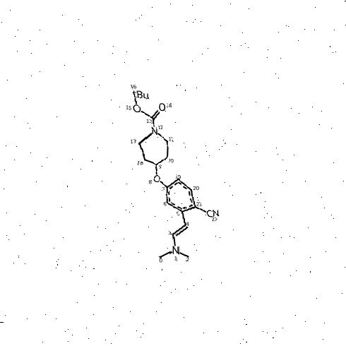 CN(C)C=Cc1cc(OC2CCN(C(=O)OC(C)(C)C)CC2)ccc1C#N